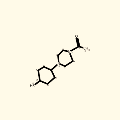 CC(=O)N1CCN(C2CCC(S)CC2)CC1